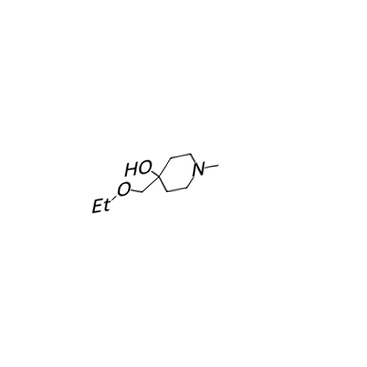 CCOCC1(O)CCN(C)CC1